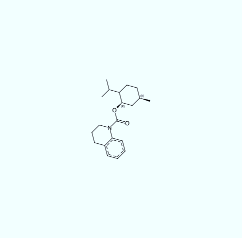 CC(C)C1CC[C@@H](C)C[C@H]1OC(=O)N1CCCc2ccccc21